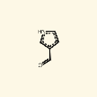 O=[C]c1cc[nH]c1